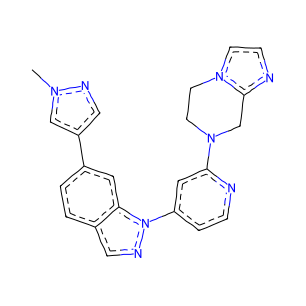 Cn1cc(-c2ccc3cnn(-c4ccnc(N5CCn6ccnc6C5)c4)c3c2)cn1